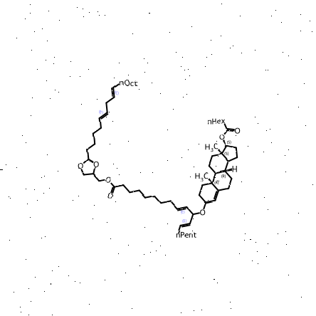 CCCCC/C=C/C(/C=C/CCCCCCCC(=O)OCC1COC(CCCC/C=C/C/C=C/CCCCCCCC)O1)OC1C=C2CC[C@@H]3C(CC[C@@]4(C)C3CC[C@@H]4OC(=O)CCCCCC)[C@@]2(C)CC1